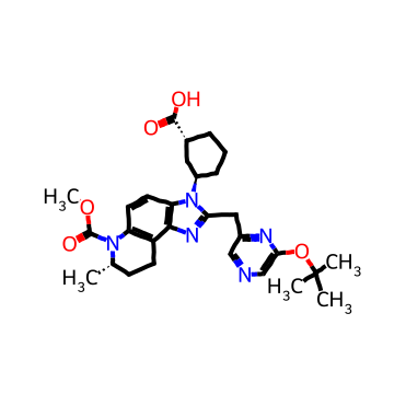 COC(=O)N1c2ccc3c(nc(Cc4cncc(OC(C)(C)C)n4)n3[C@@H]3CCC[C@@H](C(=O)O)C3)c2CC[C@@H]1C